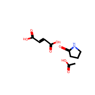 CC(=O)O.O=C(O)C=CC(=O)O.O=C1CCCN1